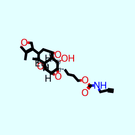 C#CCNC(=O)OCCCC[C@]12O[C@H]1[C@@H]1O[C@]13[C@]1(O[C@H]1CC(C1=C(C)COC1)[C@]3(C)CC)[C@@H]2O